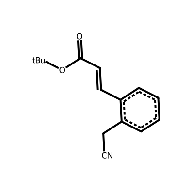 CC(C)(C)OC(=O)C=Cc1ccccc1CC#N